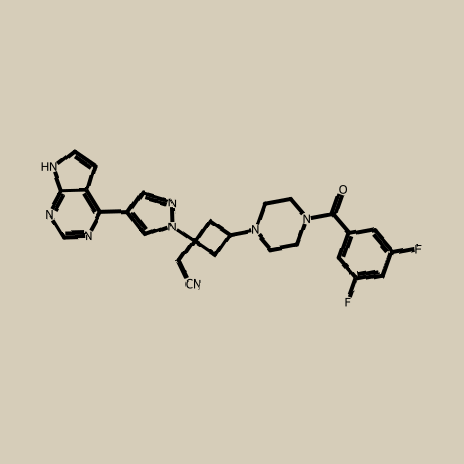 N#CCC1(n2cc(-c3ncnc4[nH]ccc34)cn2)CC(N2CCN(C(=O)c3cc(F)cc(F)c3)CC2)C1